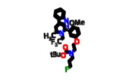 COc1ccc(OCCN(CCCF)C(=O)OC(C)(C)C)cc1[C@@H]1c2[nH]c3ccccc3c2C[C@@H](C)N1CC(F)(F)F